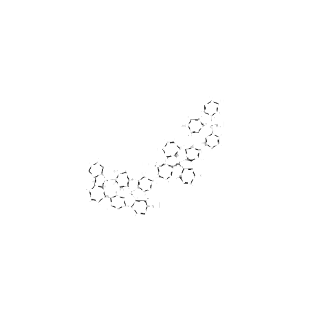 Cc1cccc([Si](c2ccccc2)(c2ccc(-c3ccc([Si](c4ccccc4)(c4ccccc4)c4ccc(-c5cccc([Si](C)(c6ccccc6)c6ccccc6)c5)cc4)cc3C)cc2)c2cccc(-n3c4ccccc4c4ccccc43)c2)c1